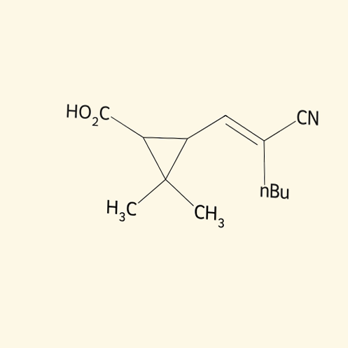 CCCC/C(C#N)=C\C1C(C(=O)O)C1(C)C